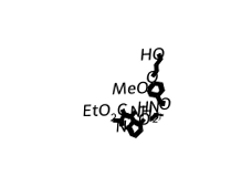 CCOC(=O)c1c(C)nc2cccc(OC[C@H](C)NC(=O)c3ccc(OCCCO)c(OC)c3)c2c1N